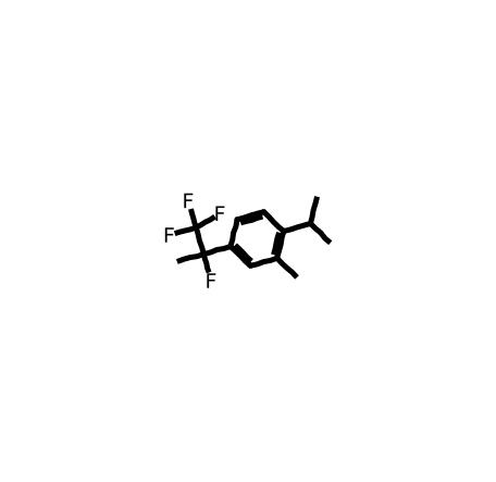 Cc1cc(C(C)(F)C(F)(F)F)ccc1C(C)C